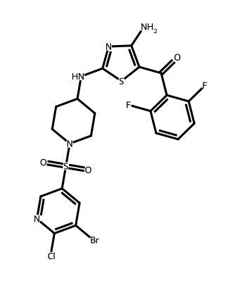 Nc1nc(NC2CCN(S(=O)(=O)c3cnc(Cl)c(Br)c3)CC2)sc1C(=O)c1c(F)cccc1F